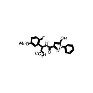 COc1ccc(F)c(C(CC(=O)O)NC(=O)c2cc(O)n(-c3ccccc3)n2)c1